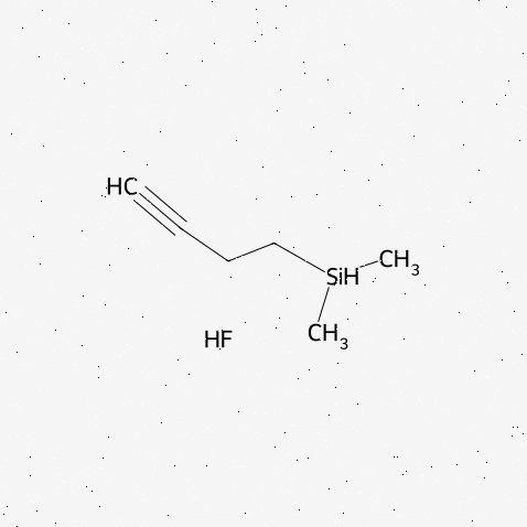 C#CCC[SiH](C)C.F